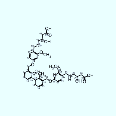 COc1cc(OCc2cccc(-c3cccc(COc4ccc(CNCC(O)CC(=O)O)c(OC)n4)c3C)c2C)ccc1CNCC(O)CC(=O)O